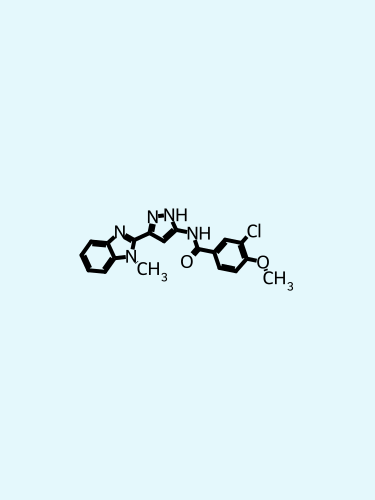 COc1ccc(C(=O)Nc2cc(-c3nc4ccccc4n3C)n[nH]2)cc1Cl